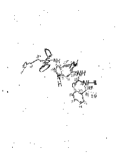 COCCS(=O)(=O)Nc1n[nH]c2cc(NC(=O)N[C@H](C)c3ccccc3)ncc12